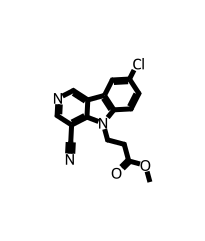 COC(=O)CCn1c2ccc(Cl)cc2c2cncc(C#N)c21